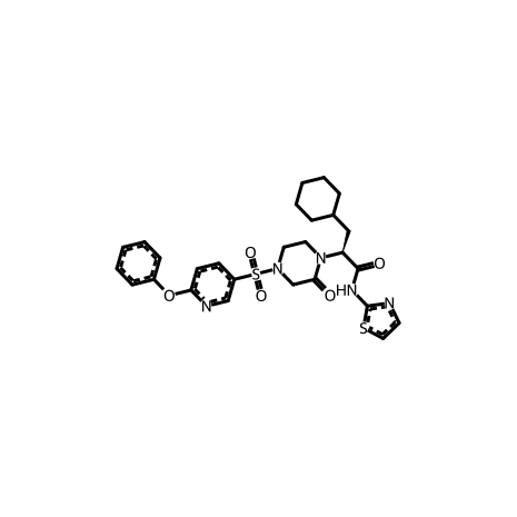 O=C(Nc1nccs1)[C@H](CC1CCCCC1)N1CCN(S(=O)(=O)c2ccc(Oc3ccccc3)nc2)CC1=O